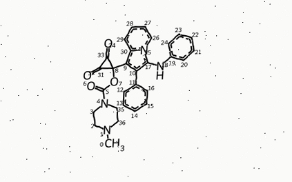 CN1CCN(C(=O)OC2(c3c(-c4ccccc4)c(Nc4ccccc4)n4ccccc34)C(=O)C2=O)CC1